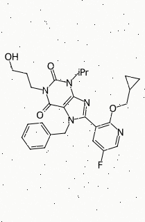 CC(C)n1c(=O)n(CCCO)c(=O)c2c1nc(-c1cc(F)cnc1OCC1CC1)n2Cc1ccccc1